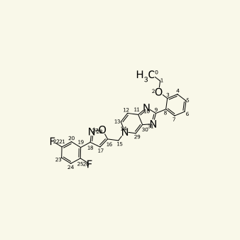 CCOc1ccccc1-c1nc2ccn(Cc3cc(-c4cc(F)ccc4F)no3)cc-2n1